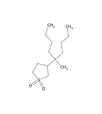 CCCCC(C)(CCCC)C1CCS(=O)(=O)C1